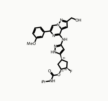 COc1cccc(-c2cn3nc(CO)cc3c(Nc3cc([C@H]4C[C@@H](F)[C@@H](OC(=O)NC(C)C)C4)[nH]n3)n2)c1